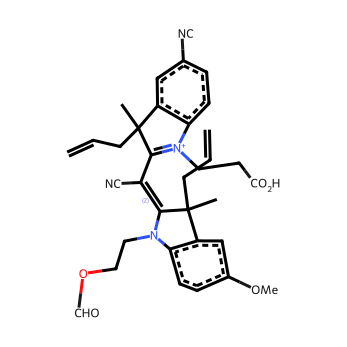 [C-]#[N+]c1ccc2c(c1)C(C)(CC=C)C(/C(C#N)=C1/N(CCOC=O)c3ccc(OC)cc3C1(C)CC=C)=[N+]2CCC(=O)O